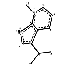 CC(C)c1n[nH]c2c1ccc[n+]2C